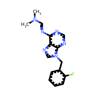 CN(C)C=Nc1ncnc2c1ncn2Cc1ccccc1F